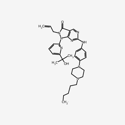 [CH2]CCCCN1CCN(c2ccc(Nc3ncc4c(=O)n(CC=C)n(-c5cccc(C(C)(C)O)n5)c4n3)cc2)CC1